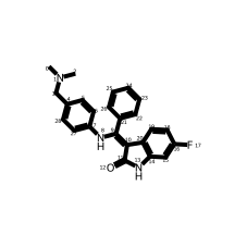 CN(C)Cc1ccc(N/C(=C2\C(=O)Nc3cc(F)ccc32)c2ccccc2)cc1